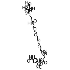 N#CCN(C(=O)CCc1cn(CCOCCOCCOCCOCCNC(=O)CCCC[C@@H]2SC[C@@H]3NC(=O)N[C@@H]32)nn1)S(=O)(=O)c1ccc(C(N)=O)cc1